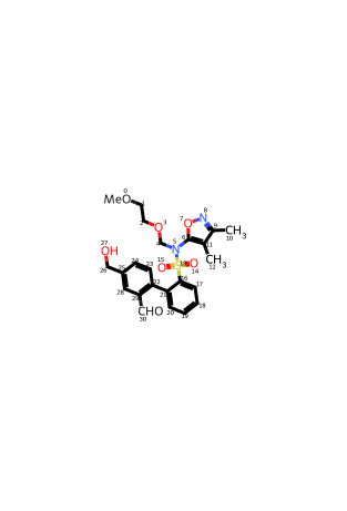 COCCOCN(c1onc(C)c1C)S(=O)(=O)c1ccccc1-c1ccc(CO)cc1C=O